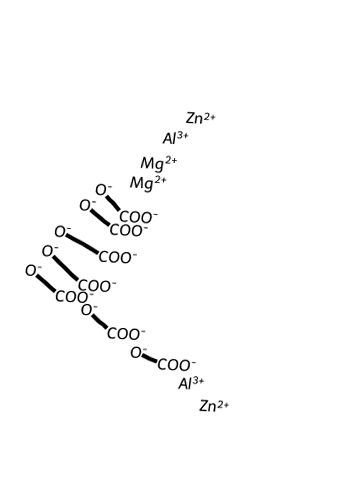 O=C([O-])[O-].O=C([O-])[O-].O=C([O-])[O-].O=C([O-])[O-].O=C([O-])[O-].O=C([O-])[O-].O=C([O-])[O-].[Al+3].[Al+3].[Mg+2].[Mg+2].[Zn+2].[Zn+2]